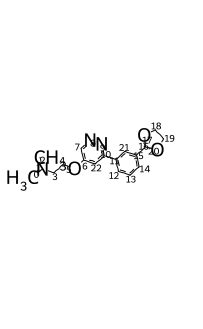 CN(C)CCOc1cnnc(-c2cccc(C3OCCO3)c2)c1